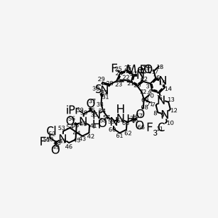 CCn1c(-c2cc(N3CCN(CC(F)(F)F)CC3)cnc2[C@H](C)OC)c2c3cc(c(F)cc31)-c1csc(n1)C[C@H](NC(=O)[C@H](C(C)C)N1CCCC3(CCN(C(=O)[C@H](F)Cl)CC3)C1=O)C(=O)N1CCC[C@H](N1)C(=O)OCC(C)(C)C2